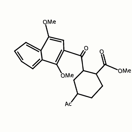 COC(=O)C1CCC(C(C)=O)CC1C(=O)c1cc(OC)c2ccccc2c1OC